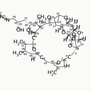 C=C1C[C@@H]2CC[C@@]34C[C@H]5O[C@H]6[C@@H](O3)[C@H]3OC(CC[C@@H]3O[C@H]6[C@H]5O4)CC(=O)C[C@@H]3[C@@H](C)[C@@H](C[C@H](O)CN=[N+]=[N-])O[C@H]3CC3O[C@@H](CCC1O2)C[C@@H](C)C3=C